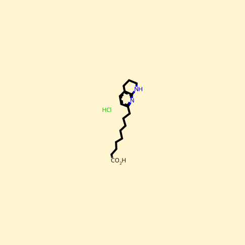 Cl.O=C(O)CCCCCCCCc1ccc2c(n1)NCCC2